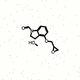 CO.O=CN1CCc2c(OCC3CO3)cccc21